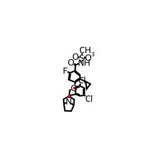 CS(=O)(=O)NC(=O)c1cc(C2CC2)c(OCC2CC3CCC(C2)N3Cc2cc(Cl)cc(Cl)c2)cc1F